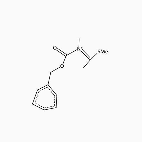 CSC(C)=[N+](C)C(=O)OCc1ccccc1